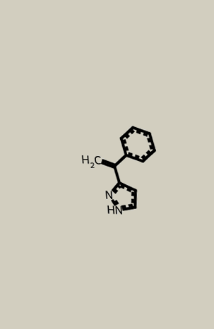 C=C(c1ccccc1)c1cc[nH]n1